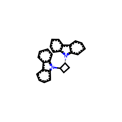 c1ccc2c(c1)c1ccccc1n2C1CC[C@H]1n1c2ccccc2c2ccccc21